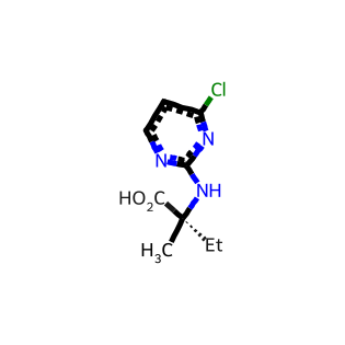 CC[C@@](C)(Nc1nccc(Cl)n1)C(=O)O